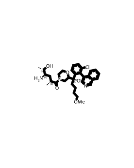 COCCCC[C@](O)(c1cccc(Cl)c1-c1cncc2ccccc12)C1CN(C(=O)[C@H](C)C[C@@H](N)[C@H](C)O)CCO1